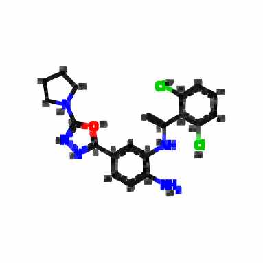 C=C(Nc1cc(-c2nnc(N3CCCC3)o2)ccc1N)c1c(Cl)cccc1Cl